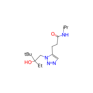 CCC(O)(Cn1nncc1CCC(=O)NC(C)C)C(C)(C)C